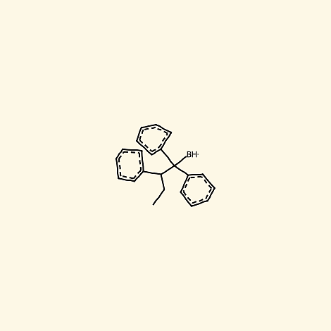 [BH]C(c1ccccc1)(c1ccccc1)C(CC)c1ccccc1